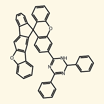 c1ccc(C2=NC(c3ccccc3)NC(c3ccc4c(c3)Oc3ccccc3C43c4ccccc4-c4cc5oc6ccccc6c5cc43)=N2)cc1